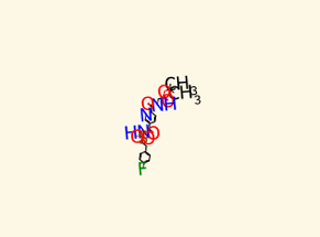 CC(C)OC(=O)CNC(=O)c1ccc(C(=O)NS(=O)(=O)CCc2ccc(F)cc2)cn1